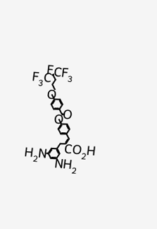 Nc1cc(N)cc(C/C(=C\c2ccc(OC(=O)c3ccc(OCCCC(F)(C(F)(F)F)C(F)(F)F)cc3)cc2)C(=O)O)c1